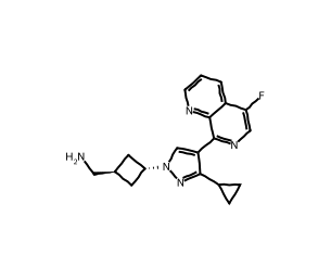 NC[C@H]1C[C@H](n2cc(-c3ncc(F)c4cccnc34)c(C3CC3)n2)C1